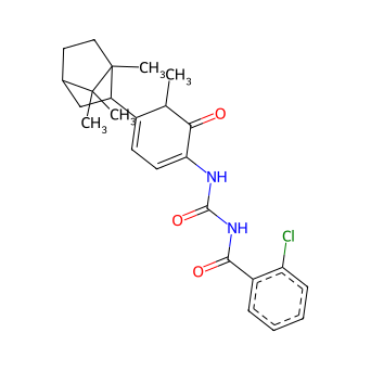 CC1C(=O)C(NC(=O)NC(=O)c2ccccc2Cl)=CC=C1C1CC2CCC1(C)C2(C)C